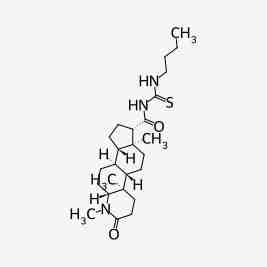 CCCCNC(=S)NC(=O)[C@H]1CC[C@H]2[C@@H]3CC[C@H]4N(C)C(=O)CC[C@]4(C)[C@H]3CC[C@]12C